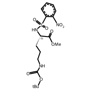 COC(=O)[C@H](CCCNC(=O)OC(C)(C)C)NS(=O)(=O)c1ccccc1[N+](=O)[O-]